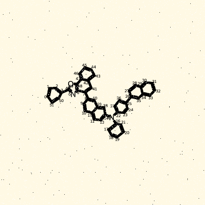 c1ccc(-c2nc3c(-c4ccc5ccc(N(c6ccccc6)c6ccc(-c7ccc8ccccc8c7)cc6)cc5c4)cc4ccccc4c3o2)cc1